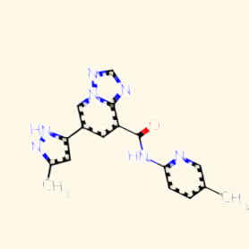 Cc1ccc(NC(=O)c2cc(-c3cc(C)n[nH]3)cn3ncnc23)nc1